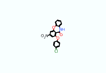 O=C1Nc2ccccc2Oc2cc([N+](=O)[O-])cc(Oc3ccc(Cl)cc3)c21